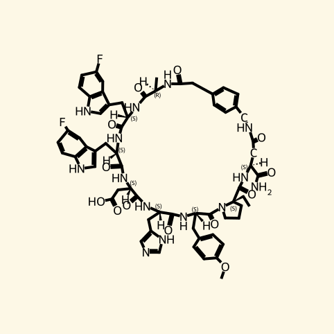 CC[C@@]12CCCN1C(=O)[C@H](Cc1ccc(OC)cc1)NC(=O)[C@H](Cc1cnc[nH]1)NC(=O)[C@H](CC(=O)O)NC(=O)[C@H](Cc1c[nH]c3ccc(F)cc13)NC(=O)[C@H](Cc1c[nH]c3ccc(F)cc13)NC(=O)[C@@H](C)NC(=O)Cc1ccc(cc1)CNC(=O)C[C@@H](C(N)=O)NC2=O